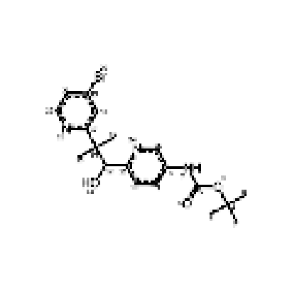 CC(C)(C)OC(=O)Nc1ccc(C(O)C(C)(C)c2cc(Br)ccn2)nc1